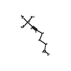 [CH2]OCCCC#CC(F)(F)F